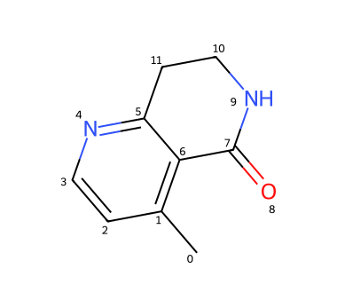 Cc1ccnc2c1C(=O)NCC2